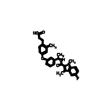 Cc1cc(Oc2cccc([C@@H](C)NC(=O)c3c(C)c4cc(F)ccc4n3C)c2)ccc1CCC(=O)O